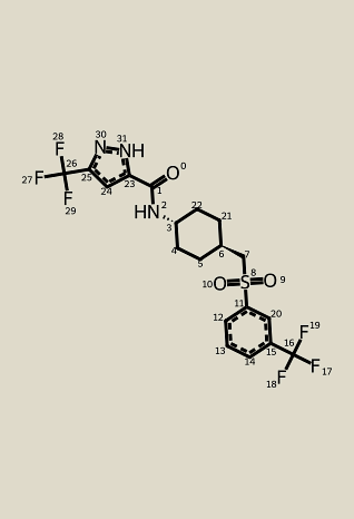 O=C(N[C@H]1CC[C@H](CS(=O)(=O)c2cccc(C(F)(F)F)c2)CC1)c1cc(C(F)(F)F)n[nH]1